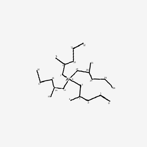 CCCC(C)[CH2][Al-]([CH2]C(C)CCC)([CH2]C(C)CCC)[CH2]C(C)CCC